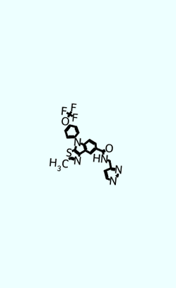 Cc1nc2c3cc(C(=O)NCc4ccncn4)ccc3n(-c3ccc(OC(F)(F)F)cc3)c2s1